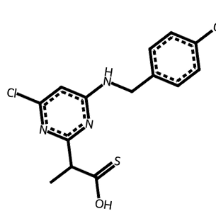 CC(C(O)=S)c1nc(Cl)cc(NCc2ccc(Cl)cc2)n1